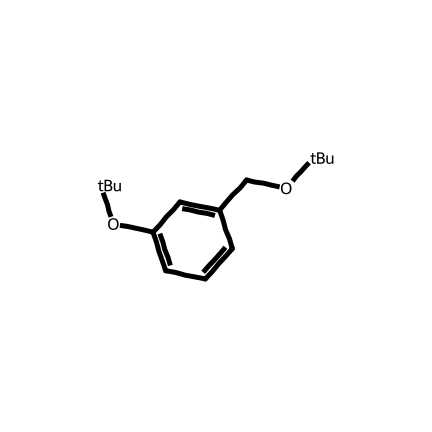 CC(C)(C)OCc1cccc(OC(C)(C)C)c1